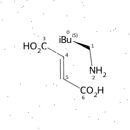 CC[C@H](C)CN.O=C(O)C=CC(=O)O